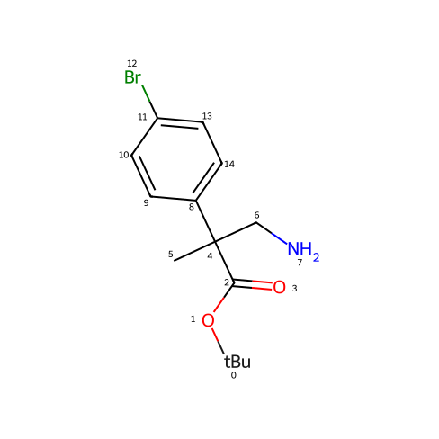 CC(C)(C)OC(=O)C(C)(CN)c1ccc(Br)cc1